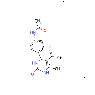 CC(=O)Nc1ccc(C2NC(=O)NC(C)=C2C(C)=O)cc1